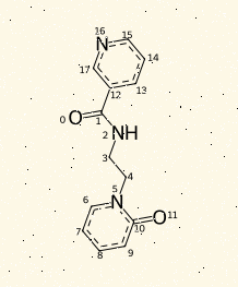 O=C(NCCn1ccccc1=O)c1cccnc1